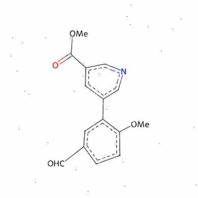 COC(=O)c1cncc(-c2cc(C=O)ccc2OC)c1